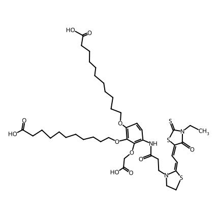 CCN1C(=O)/C(=C\C=C2\SCCN2CCC(=O)Nc2ccc(OCCCCCCCCCCC(=O)O)c(OCCCCCCCCCCC(=O)O)c2OCC(=O)O)SC1=S